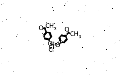 CC(=O)c1ccc([O][Zr+2][O]c2ccc(C(C)=O)cc2)cc1.[Cl-].[Cl-]